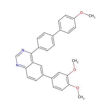 COc1ccc(-c2ccc(-c3ncnc4ccc(-c5ccc(OC)c(OC)c5)cc34)cc2)cc1